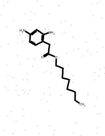 CCCCCCCCOC(=O)Cc1ccc(N)cc1N